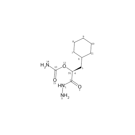 NNC(=O)[C@H](CC1CCCCC1)OC(N)=O